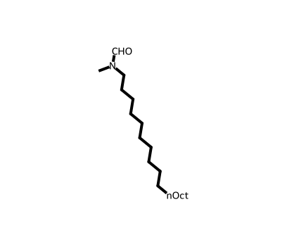 CCCCCCCCCCCCCCCCCCN(C)C=O